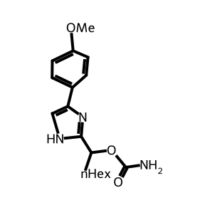 CCCCCCC(OC(N)=O)c1nc(-c2ccc(OC)cc2)c[nH]1